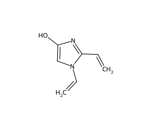 C=Cc1nc(O)cn1C=C